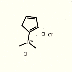 [CH3][Ti+3]([CH3])[C]1=CC=CC1.[Cl-].[Cl-].[Cl-]